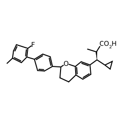 Cc1ccc(F)c(-c2ccc(C3CCc4ccc([C@H](C5CC5)C(C)C(=O)O)cc4O3)cc2)c1